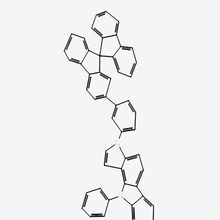 c1ccc(-n2c3ccccc3c3ccc4c(ccn4-c4cccc(-c5ccc6c(c5)C5(c7ccccc7-c7ccccc75)c5ccccc5-6)c4)c32)cc1